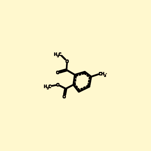 [CH2]c1ccc(C(=O)OC)c(C(=O)OC)c1